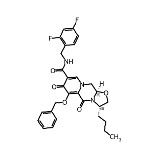 CCCC[C@H]1CO[C@@H]2Cn3cc(C(=O)NCc4ccc(F)cc4F)c(=O)c(OCc4ccccc4)c3C(=O)N12